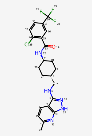 Cc1ccc2c(NC[C@H]3CC[C@H](NC(=O)c4cc(C(F)(F)F)ccc4Cl)CC3)n[nH]c2n1